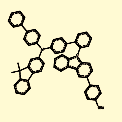 CC(C)(C)c1ccc(-c2ccc3c(c2)c2ccccc2n3-c2ccccc2-c2ccc(N(c3ccc(-c4ccccc4)cc3)c3ccc4c(c3)C(C)(C)c3ccccc3-4)cc2)cc1